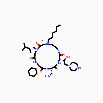 CCCCCCN1CCNC(=O)[C@H](C(O)CN2CCNCC2)NC(=O)[C@H](CN)NC(=O)[C@H](C2CCCCC2)NC(=O)[C@H](CCC(C)C)N(C)C(=O)[C@@H]1C